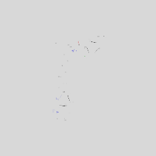 N#Cc1ccc(Cl)c(C(=O)N[C@@H](CCCCCCCc2ccc3c(n2)NCCC3)C(=O)O)c1